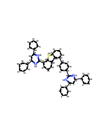 c1ccc(-c2cc(-c3ccccc3)nc(-c3ccc(-c4cccc5sc6c(-c7nc(-c8ccccc8)cc(-c8ccccc8)n7)cccc6c45)cc3)n2)cc1